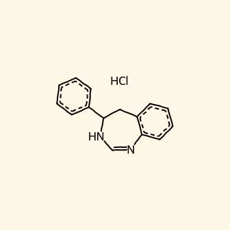 C1=Nc2ccccc2CC(c2ccccc2)N1.Cl